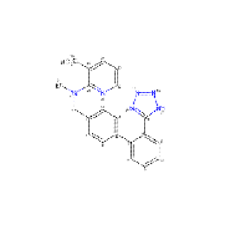 CCN(Cc1ccc(-c2ccccc2-c2nnn[nH]2)cc1)c1ncccc1C(=O)O